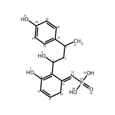 CC(CC(O)C1=C(O)C=CCC1=NP(=O)(O)O)c1ccc(O)cc1